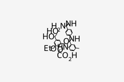 CCOc1cc(C(O)CO)cc(CNc2ccc(C)cc2C(=O)Nc2ccc(C(=N)N)cc2)c1OCC(=O)O